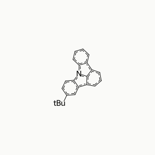 CC(C)(C)c1ccc2c(c1)c1cccc3c4ccccc4n2c31